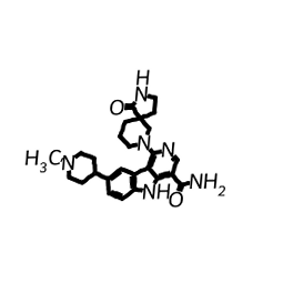 CN1CCC(c2ccc3[nH]c4c(C(N)=O)cnc(N5CCCC6(CCNC6=O)C5)c4c3c2)CC1